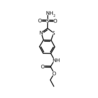 CCOC(=O)Nc1ccc2nc(S(N)(=O)=O)sc2c1